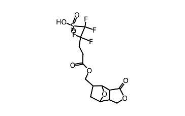 O=C(CCC(F)(F)C(F)(F)S(=O)(=O)O)OCC1CC2OC1C1C(=O)OCC21